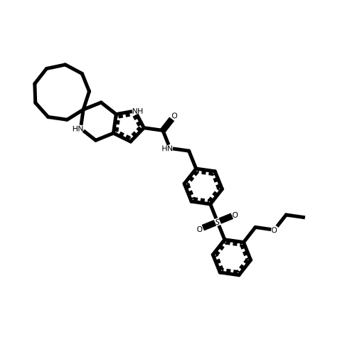 CCOCc1ccccc1S(=O)(=O)c1ccc(CNC(=O)c2cc3c([nH]2)CC2(CCCCCCCC2)NC3)cc1